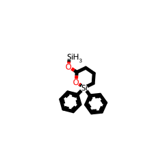 [SiH3]OC1CCC[Si](c2ccccc2)(c2ccccc2)O1